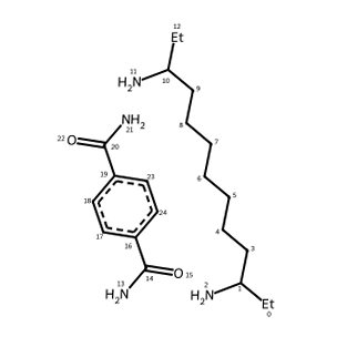 CCC(N)CCCCCCCC(N)CC.NC(=O)c1ccc(C(N)=O)cc1